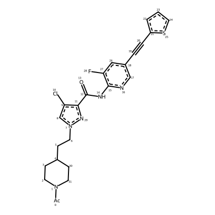 CC(=O)N1CCC(CCn2cc(Cl)c(C(=O)Nc3ncc(C#Cc4cccs4)cc3F)n2)CC1